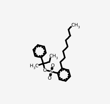 CCCCCCCCc1ccccc1S(=O)(=O)OC(C)(CC)c1ccccc1